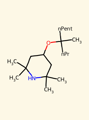 CCCCCC(C)(CCC)OC1CC(C)(C)NC(C)(C)C1